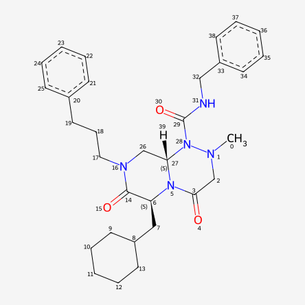 CN1CC(=O)N2[C@@H](CC3CCCCC3)C(=O)N(CCCc3ccccc3)C[C@@H]2N1C(=O)NCc1ccccc1